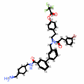 NCC1CCC(CNC(=O)c2cccc(-c3cccc(CN(CCc4ccc(OC(=O)C(F)(F)F)cc4)C(=O)Cc4cccc(Br)c4)c3)c2)CC1